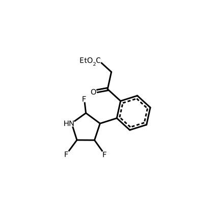 CCOC(=O)CC(=O)c1ccccc1C1C(F)NC(F)C1F